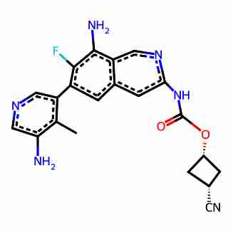 Cc1c(N)cncc1-c1cc2cc(NC(=O)O[C@H]3C[C@@H](C#N)C3)ncc2c(N)c1F